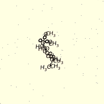 COc1ccc(C(OCC(O)CNC(=O)OC2CC[C@@]3(C)C(=CCC4C3CC[C@@]3(C)C4CC[C@@H]3[C@H](C)CCCC(C)C)C2)(c2ccccc2)c2ccc(OC)cc2)cc1